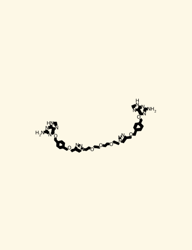 Nc1nc(OCc2ccc(COCc3cn(CCOCCOCCOCCn4cc(COCc5ccc(COc6nc(N)nc7[nH]cnc67)cc5)nn4)nn3)cc2)c2nc[nH]c2n1